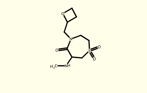 CNC1CS(=O)(=O)CCN(CC2CCO2)C1=O